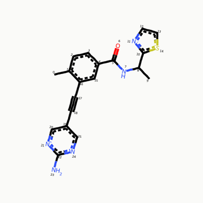 Cc1ccc(C(=O)NC(C)c2nccs2)cc1C#Cc1cnc(N)nc1